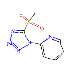 CS(=O)(=O)c1nnnn1-c1ccccn1